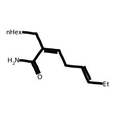 CC/C=C/C/C=C(/CCCCCCC)C(N)=O